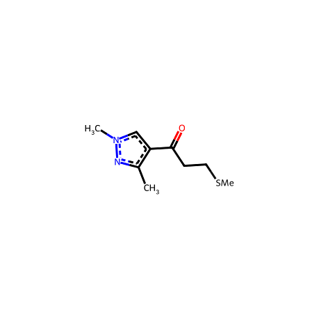 CSCCC(=O)c1cn(C)nc1C